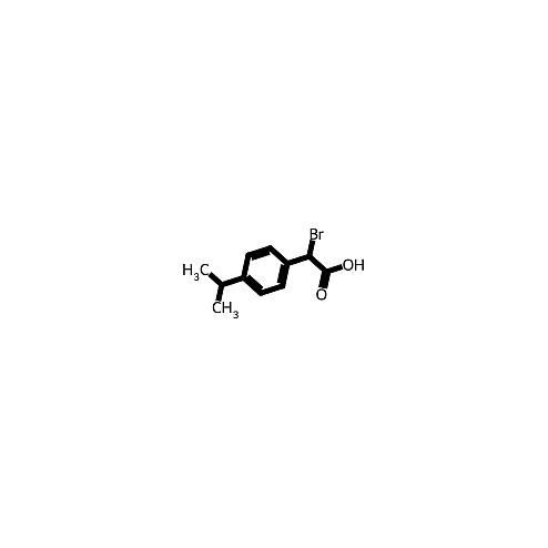 CC(C)c1ccc(C(Br)C(=O)O)cc1